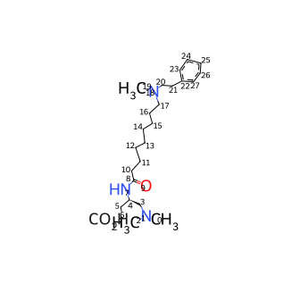 CN(C)C[C@@H](CC(=O)O)NC(=O)CCCCCCCCN(C)CCc1ccccc1